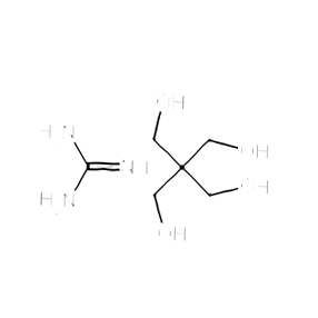 N=C(N)N.OCC(CO)(CO)CO